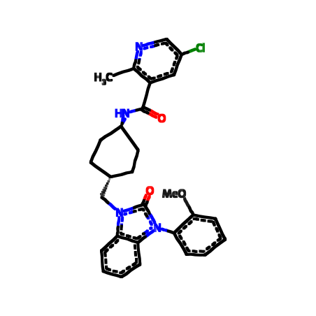 COc1ccccc1-n1c(=O)n(C[C@H]2CC[C@H](NC(=O)c3cc(Cl)cnc3C)CC2)c2ccccc21